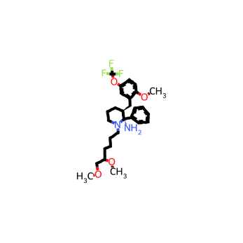 COCC(CCCCN1CCC[C@@H](Cc2cc(OC(F)(F)F)ccc2OC)[C@@]1(N)c1ccccc1)OC